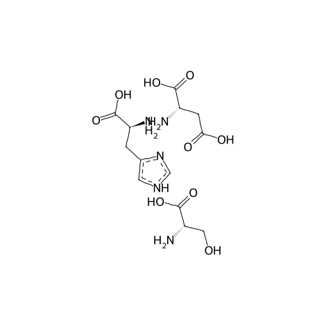 N[C@@H](CC(=O)O)C(=O)O.N[C@@H](CO)C(=O)O.N[C@@H](Cc1c[nH]cn1)C(=O)O